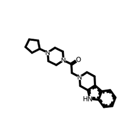 O=C(CN1CCc2c([nH]c3ccccc23)C1)N1CCN(C2CCCC2)CC1